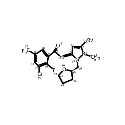 Cn1c(C(C)(C)C)c/c(=N\C(=O)c2cc(C(F)(F)F)cc(Cl)c2F)n1C[C@H]1CCCO1